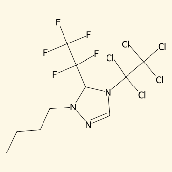 CCCCN1N=CN(C(Cl)(Cl)C(Cl)(Cl)Cl)C1C(F)(F)C(F)(F)F